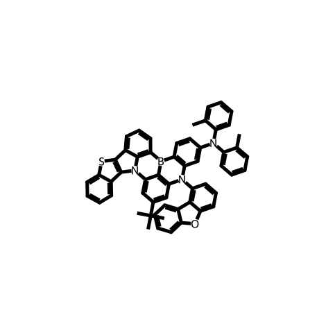 Cc1ccccc1N(c1ccc2c(c1)N(c1cccc3oc4ccccc4c13)c1cc(C(C)(C)C)cc3c1B2c1cccc2c4sc5ccccc5c4n-3c12)c1ccccc1C